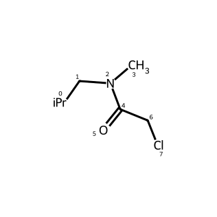 CC(C)CN(C)C(=O)CCl